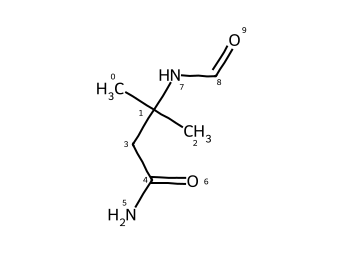 CC(C)(CC(N)=O)NC=O